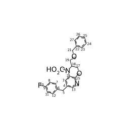 O=C(O)N1c2cc(Cc3ccc(F)cc3)cnc2OCC1COCc1ccccc1